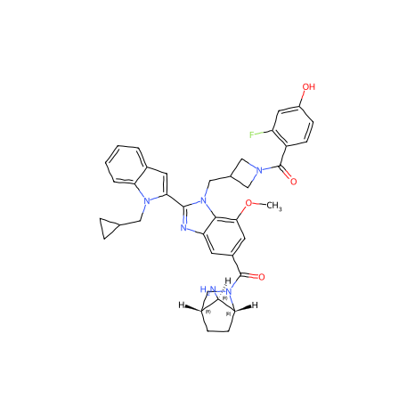 COc1cc(C(=O)N2C[C@H]3CC[C@@H]2[C@@H]3N)cc2nc(-c3cc4ccccc4n3CC3CC3)n(CC3CN(C(=O)c4ccc(O)cc4F)C3)c12